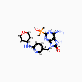 CP(C)(=O)c1nc(N)c2[nH]c(=O)n(Cc3ccc(NC4CCOCC4)nc3)c2n1